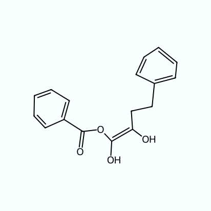 O=C(O/C(O)=C(/O)CCc1ccccc1)c1ccccc1